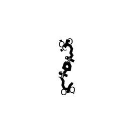 CCC1(OC)COC1CCC[Si](C)(C)c1ccc([Si](C)(C)CCCC2OCC2(CC)OC)cc1